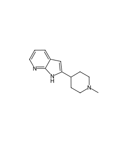 CN1CCC(c2cc3cccnc3[nH]2)CC1